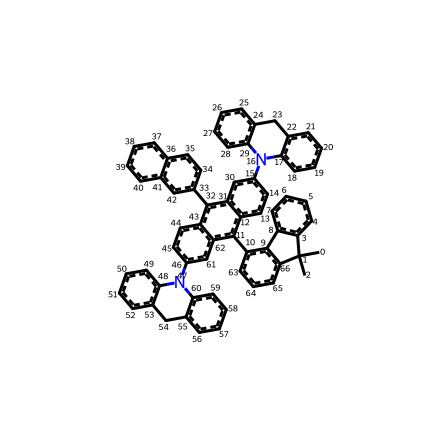 CC1(C)c2ccccc2-c2c(-c3c4ccc(N5c6ccccc6Cc6ccccc65)cc4c(-c4ccc5ccccc5c4)c4ccc(N5c6ccccc6Cc6ccccc65)cc34)cccc21